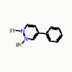 CC(C)N1C=CC(c2ccccc2)=CN1C(C)C